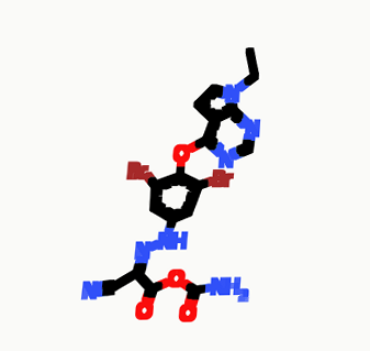 CCn1ccc2c(Oc3c(Br)cc(NN=C(C#N)C(=O)OC(N)=O)cc3Br)ncnc21